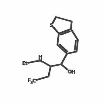 CCNC(CC(F)(F)F)C(O)c1ccc2c(c1)SCC2